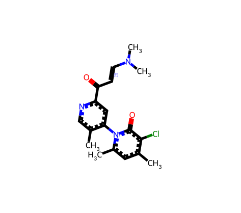 Cc1cnc(C(=O)/C=C/N(C)C)cc1-n1c(C)cc(C)c(Cl)c1=O